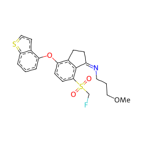 COCCC/N=C1/CCc2c(Oc3cccc4sccc34)ccc(S(=O)(=O)CF)c21